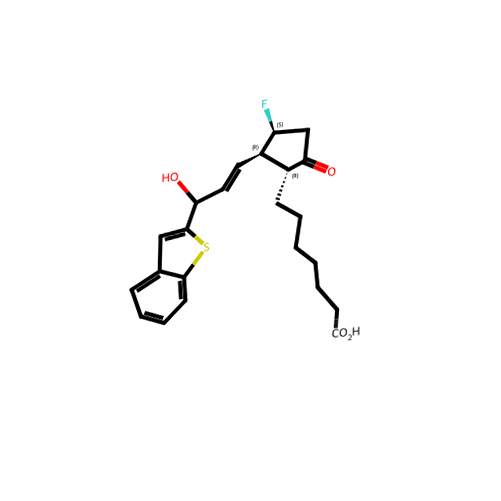 O=C(O)CCCCCC[C@H]1C(=O)C[C@H](F)[C@@H]1C=CC(O)c1cc2ccccc2s1